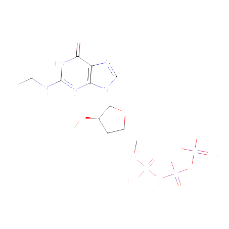 CC(C)CNc1nc2c(ncn2[C@@H]2O[C@H](COP(=O)(O)OP(=O)(O)OP(=O)(O)O)[C@H](O)[C@H]2OF)c(=O)[nH]1